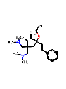 CCO[Si](CC)(CCc1ccccc1)CC(CC)(CN(C)C)CN(C)C